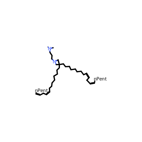 CCCCC/C=C\C/C=C\CCCCCCCCC1(CCCCCCCC/C=C\C/C=C\CCCCC)CN(CCCN(C)C)C1